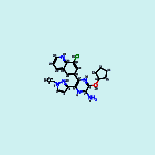 Cn1ccc(-c2nc(N)c(OC3CCCC3)nc2-c2cc(Cl)c3ncccc3c2)n1